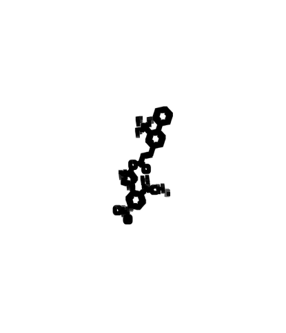 CNc1ccc([N+](=O)[O-])cc1-n1cnc(OC(=O)C=Cc2ccc(-c3ccccc3)c(C(F)(F)F)c2)c1